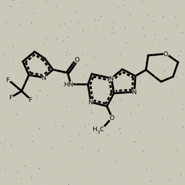 COc1nc(NC(=O)c2cccc(C(F)(F)F)n2)cn2cc(C3CCCOC3)nc12